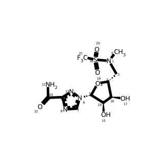 CN(C[C@H]1O[C@@H](n2cnc(C(N)=O)n2)[C@H](O)[C@@H]1O)S(=O)(=O)C(F)(F)F